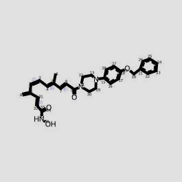 C=C(\C=C/C=C(C)/C=C/C(=O)N1CCN(c2ccc(OCc3ccccc3)cc2)CC1)/C=C/C(=O)NO